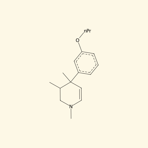 CCCOc1cccc(C2(C)C=CN(C)CC2C)c1